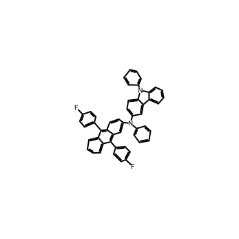 Fc1ccc(-c2c3ccccc3c(-c3ccc(F)cc3)c3cc(N(c4ccccc4)c4ccc5c(c4)c4ccccc4n5-c4ccccc4)ccc23)cc1